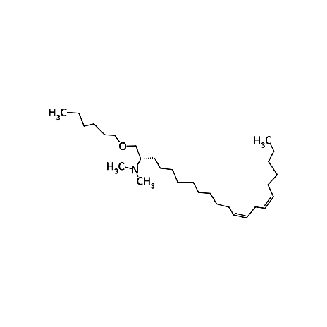 CCCCC/C=C\C/C=C\CCCCCCCCC[C@@H](COCCCCCC)N(C)C